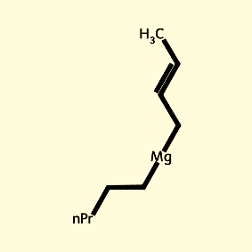 C/C=C/[CH2][Mg][CH2]CCCC